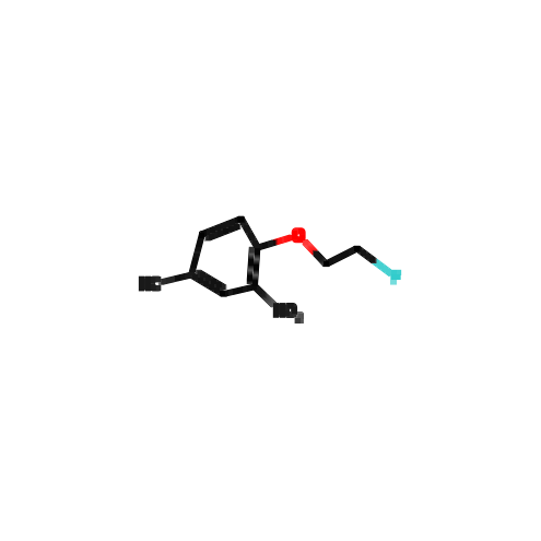 N#Cc1ccc(OCCF)c([N+](=O)[O-])c1